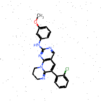 COc1cccc(Nc2ncc3c(n2)N2CCCN=C2C(c2ccccc2Cl)=C3)c1